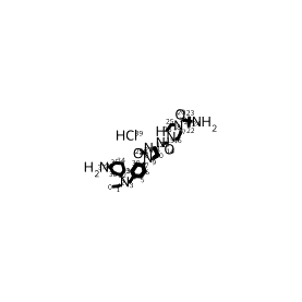 CCN(Cc1ccc(-n2ccc(NC(=O)N3CCN(C(=O)C(C)(C)N)CC3)nc2=O)cc1)C1CCCC(N)C1.Cl